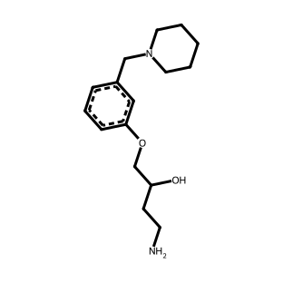 NCCC(O)COc1cccc(CN2CCCCC2)c1